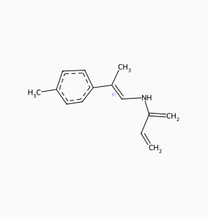 C=CC(=C)N/C=C(\C)c1ccc(C)cc1